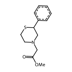 COC(=O)CN1CCSC(c2ccccc2)C1